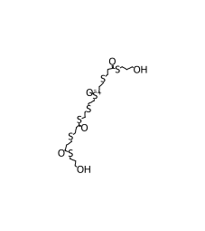 O=C(CCSCCC[S+]([O-])CCSCCSC(=O)CCSCCC(=O)SCCCO)SCCCO